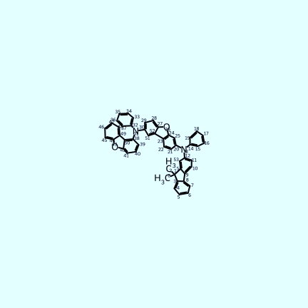 CC1(C)c2ccccc2-c2ccc(N(c3ccccc3)c3ccc4c(c3)oc3ccc(N(c5ccccc5)c5cccc6oc7ccccc7c56)cc34)cc21